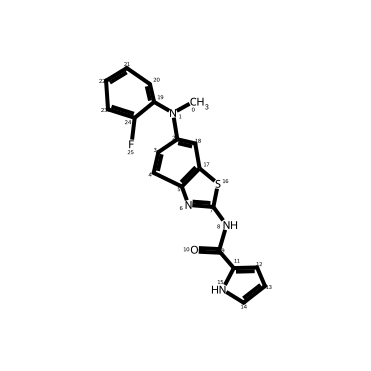 CN(c1ccc2nc(NC(=O)c3ccc[nH]3)sc2c1)c1ccccc1F